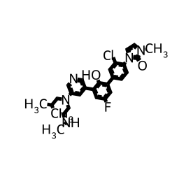 CNCCN(CC(C)C)c1cncc(-c2cc(F)cc(-c3ccc(-n4ccn(C)c4=O)c(Cl)c3)c2O)c1